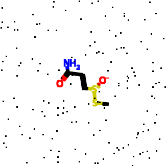 CS[S+]([O-])C=CC(N)=O